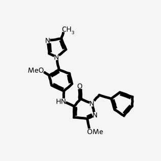 COc1cc(Nc2ccc(-n3cnc(C)c3)c(OC)c2)c(=O)n(Cc2ccccc2)n1